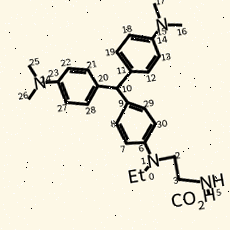 CCN(CCNC(=O)O)c1ccc(C(c2ccc(N(C)C)cc2)c2ccc(N(C)C)cc2)cc1